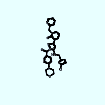 O=C(c1ccc(N2CCOCC2)cc1)n1nc(-c2cccn(Cc3ccccn3)c2=O)cc1NCc1ccc(Cl)s1